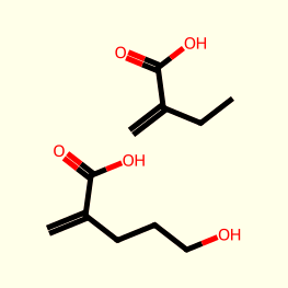 C=C(CC)C(=O)O.C=C(CCCO)C(=O)O